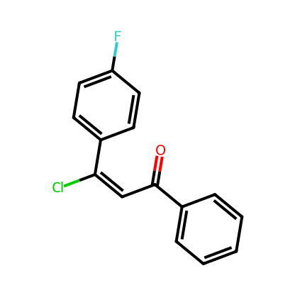 O=C(/C=C(/Cl)c1ccc(F)cc1)c1ccccc1